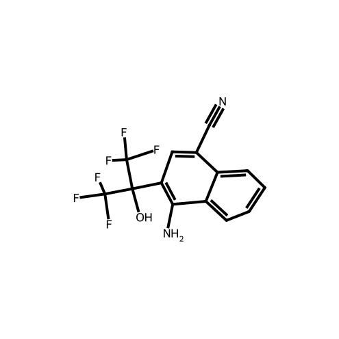 N#Cc1cc(C(O)(C(F)(F)F)C(F)(F)F)c(N)c2ccccc12